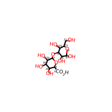 O=C(O)C1OC(OC2C(O)C(O)OC(CO)C2O)C(O)C(O)C1O